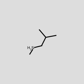 C[SiH2][CH]C(C)C